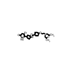 CCC1=C(c2ccc3nc(-c4ccc(OCCN5CC(C)OC(C)C5)cc4)oc3c2)NNC(=O)C1